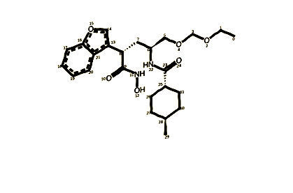 CCOCOC[C@H](C[C@H](C(=O)NO)c1coc2ccccc12)NC(=O)[C@H]1CC[C@H](C)CC1